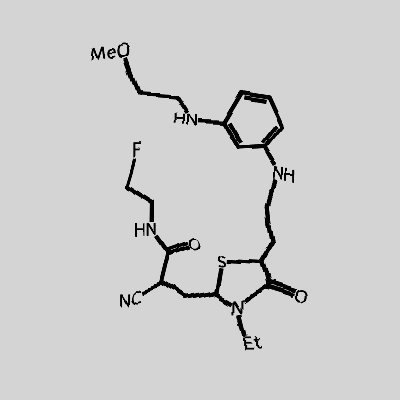 CCN1C(=O)C(CCNc2cccc(NCCOC)c2)SC1CC(C#N)C(=O)NCCF